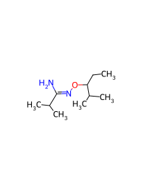 CCC(O/N=C(\N)C(C)C)C(C)C